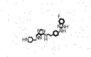 Fc1ccc2[nH]c(Nc3ccc(CCNc4ncnc5cn(CC6CCNCC6)nc45)cc3)nc2c1